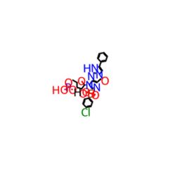 O=c1c2nc(S(=O)(=O)c3ccc(Cl)cc3)n([C@@H]3OC4COP(O)O[C@H]4[C@@H]3O)c2nc2[nH]c(-c3ccccc3)cn12